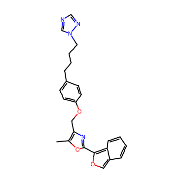 Cc1oc(-c2occ3ccccc23)nc1COc1ccc(CCCCn2cncn2)cc1